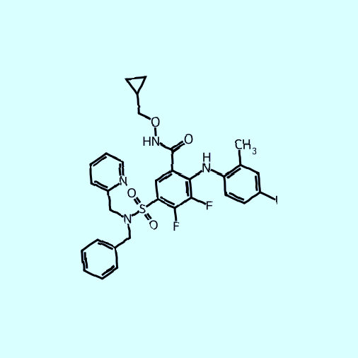 Cc1cc(I)ccc1Nc1c(C(=O)NOCC2CC2)cc(S(=O)(=O)N(Cc2ccccc2)Cc2ccccn2)c(F)c1F